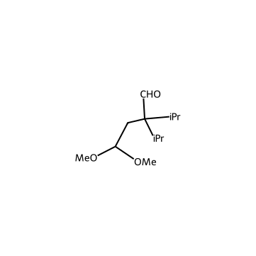 COC(CC(C=O)(C(C)C)C(C)C)OC